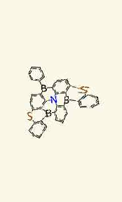 c1ccc(B2c3ccc4c5c3N3c6c(cccc6B6c7ccccc7Sc7ccc2c3c76)B5c2ccccc2S4)cc1